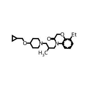 CCc1cccc2c1OCC(=O)N2CC(C)CN1CCC(OCC2CC2)CC1